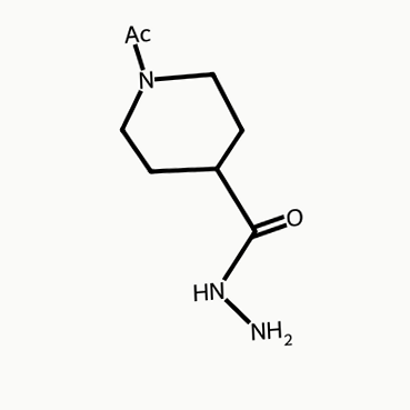 CC(=O)N1CCC(C(=O)NN)CC1